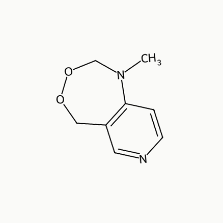 CN1COOCc2cnccc21